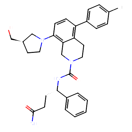 NC(=O)CC[C@H](NC(=O)N1CCc2c(-c3ccc(C(F)(F)F)cc3)ccc(N3CC[C@@H](CO)C3)c2C1)c1ccccc1